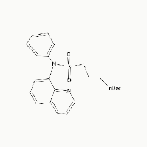 CCCCCCCCCCCCCS(=O)(=O)N(c1ccccc1)c1cccc2cccnc12